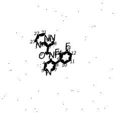 O=C(Nc1ccncc1-c1cccc(F)c1F)c1cnn2cccnc12